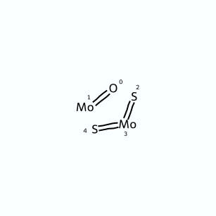 [O]=[Mo].[S]=[Mo]=[S]